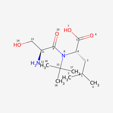 CC(C)C[C@@H](C(=O)O)N(C(=O)[C@@H](N)CO)C(C)(C)C